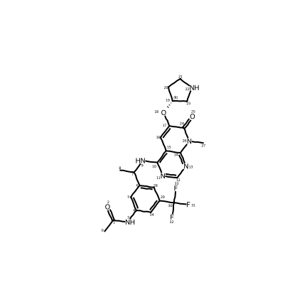 CC(=O)Nc1cc(C(C)Nc2ncnc3c2cc(O[C@@H]2CCNC2)c(=O)n3C)cc(C(F)(F)F)c1